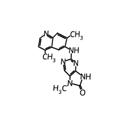 Cc1cc2nccc(C)c2cc1Nc1ncc2c(n1)[nH]c(=O)n2C